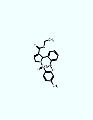 CCOC(=O)C1=CCN(S(=O)(=O)c2ccc(C)cc2)C1c1ccccc1[N+](=O)[O-]